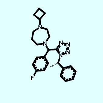 C[C@@H](c1ccccc1)n1nnnc1C(c1ccc(F)cc1)N1CCCN(C2CCC2)CC1